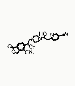 Cc1c([C@H](O)CN2CCN(C(O)Cc3ccc(C#N)cn3)CC2)ccc2c1COC2=O